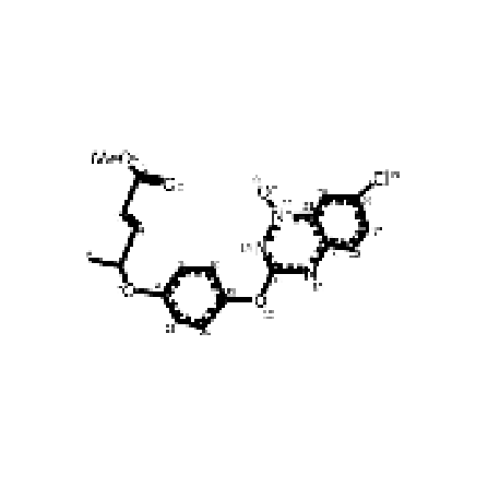 COC(=O)/C=C/C(C)Oc1ccc(Oc2nc3ccc(Cl)cc3[n+]([O-])n2)cc1